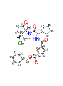 O=C(N[C@H](C(=O)N1C[C@H](Cl)[C@H]2CCC(=O)[C@H]21)C1CCCC1)c1ccc(C(=O)OCc2ccccc2)s1